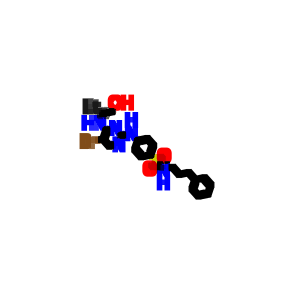 CC[C@H](CO)Nc1nc(Nc2ccc(S(=O)(=O)NCCCc3ccccc3)cc2)ncc1Br